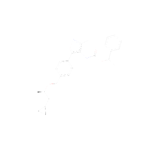 Cc1noc(-c2ccc(CO[C@@H](CC3CC3)C(=O)O)cc2)c1NC(=O)OC(C)c1ccccc1